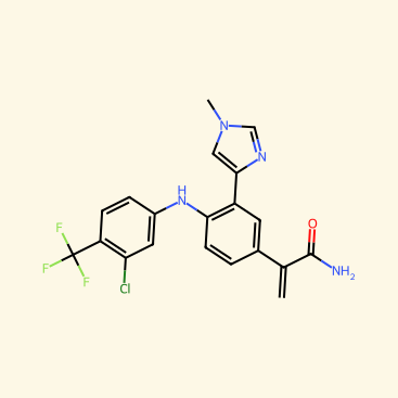 C=C(C(N)=O)c1ccc(Nc2ccc(C(F)(F)F)c(Cl)c2)c(-c2cn(C)cn2)c1